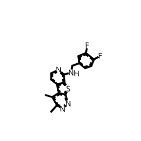 Cc1nnc2sc3c(NCc4ccc(F)c(F)c4)nccc3c2c1C